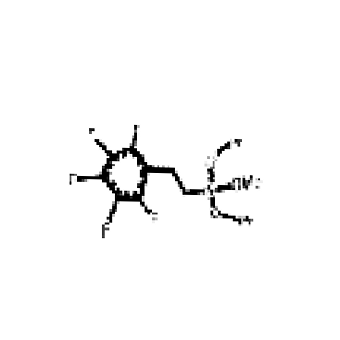 CO[Si](CCc1c(F)c(F)c(F)c(F)c1F)(OC(C)C)OC(C)C